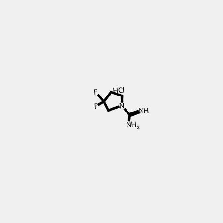 Cl.N=C(N)N1CCC(F)(F)C1